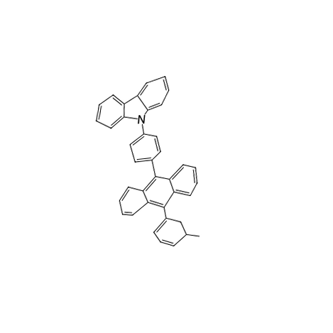 CC1C=CC=C(c2c3ccccc3c(-c3ccc(-n4c5ccccc5c5ccccc54)cc3)c3ccccc23)C1